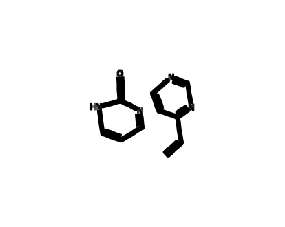 C=Cc1ccncn1.O=c1nccc[nH]1